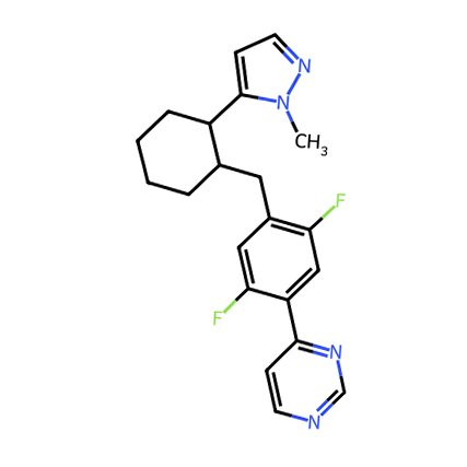 Cn1nccc1C1CCCCC1Cc1cc(F)c(-c2ccncn2)cc1F